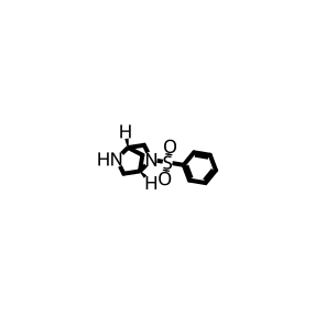 O=S(=O)(c1ccccc1)N1C[C@@H]2C[C@H]1CN2